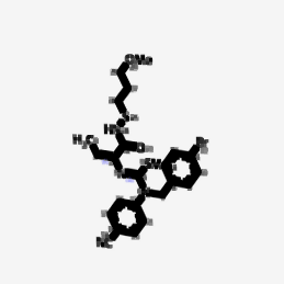 C/C=C(/N=C(\SC)N(Cc1ccc(Br)cc1)c1ccc(C#N)cc1)C(=O)NSCCCOC